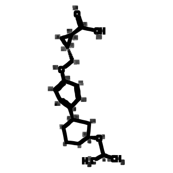 CC(C)O[C@H]1CCC[C@@H](c2ccc(OC[C@@H]3C[C@H]3C(=O)O)cc2)C1